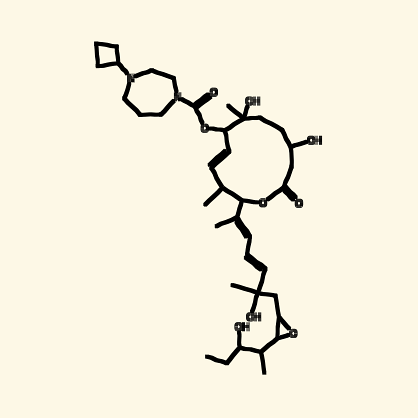 CCC(O)C(C)C1OC1CC(C)(O)/C=C/C=C(\C)C1OC(=O)CC(O)CCC(C)(O)C(OC(=O)N2CCCN(C3CCC3)CC2)/C=C/C1C